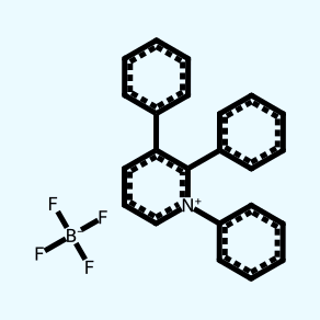 F[B-](F)(F)F.c1ccc(-c2ccc[n+](-c3ccccc3)c2-c2ccccc2)cc1